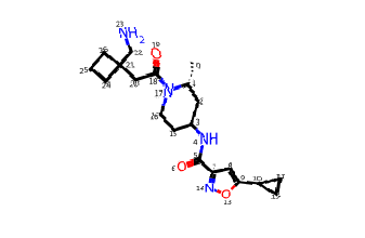 C[C@@H]1CC(NC(=O)c2cc(C3CC3)on2)CCN1C(=O)CC1(CN)CCC1